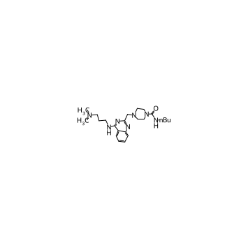 CCCCNC(=O)N1CCN(Cc2nc(NCCCN(C)C)c3ccccc3n2)CC1